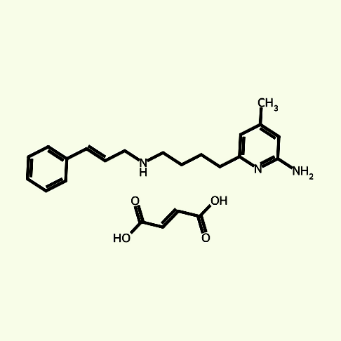 Cc1cc(N)nc(CCCCNCC=Cc2ccccc2)c1.O=C(O)C=CC(=O)O